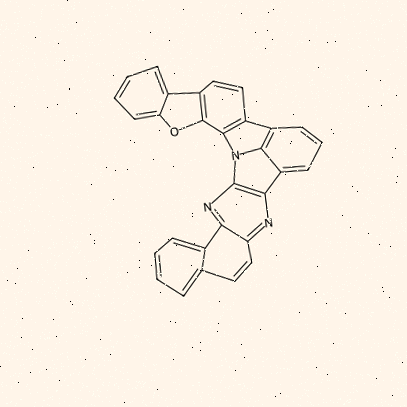 c1ccc2c(c1)ccc1nc3c4cccc5c6ccc7c8ccccc8oc7c6n(c3nc12)c54